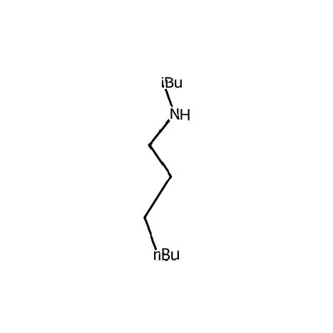 CCCCCCCNC(C)CC